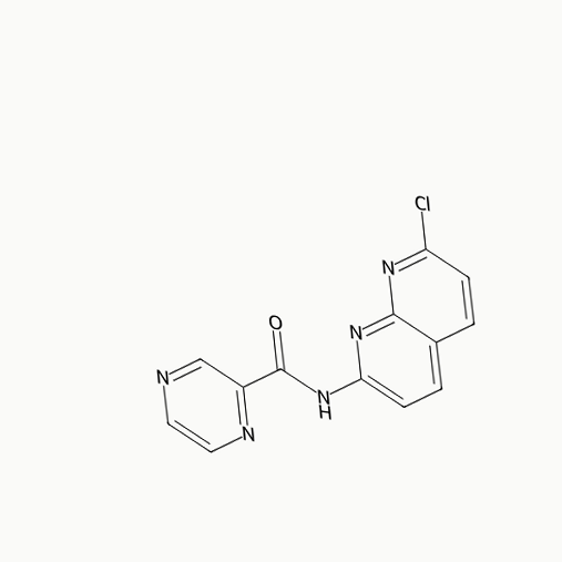 O=C(Nc1ccc2ccc(Cl)nc2n1)c1cnccn1